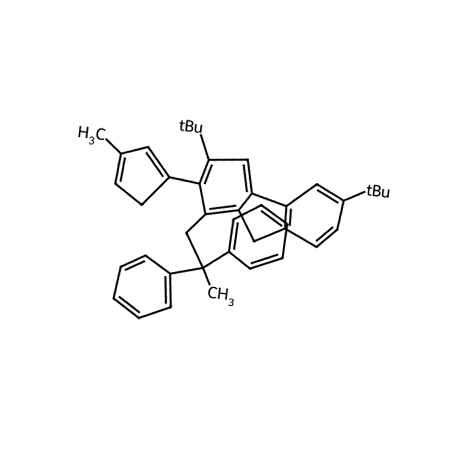 CC1=CCC(c2c(C(C)(C)C)cc3c(c2CC(C)(c2ccccc2)c2ccccc2)Cc2ccc(C(C)(C)C)cc2-3)=C1